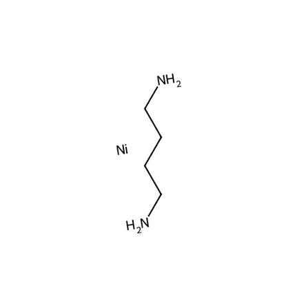 NCCCCN.[Ni]